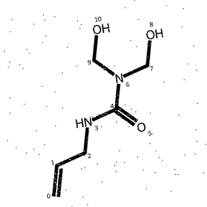 C=CCNC(=O)N(CO)CO